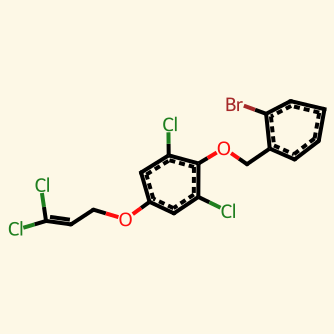 ClC(Cl)=CCOc1cc(Cl)c(OCc2ccccc2Br)c(Cl)c1